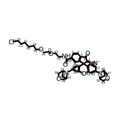 [N-]=[N+]=C1C(=O)c2ccc(C(=O)NCCOCCOCCCCCCCl)cc2C12c1ccc(N3C4COCC3C4)cc1Oc1cc(N3C4COCC3C4)ccc12